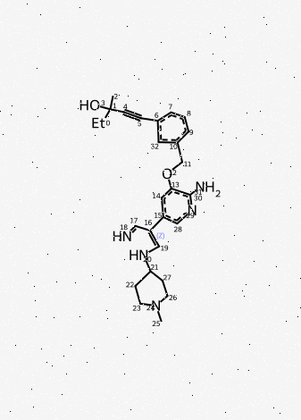 CCC(C)(O)C#Cc1cccc(COc2cc(/C(C=N)=C/NC3CCN(C)CC3)cnc2N)c1